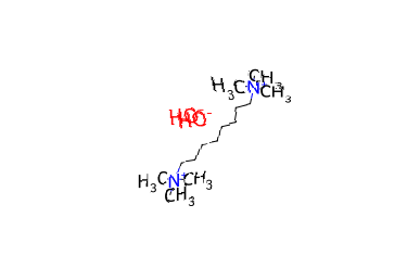 C[N+](C)(C)CCCCCCCC[N+](C)(C)C.[OH-].[OH-]